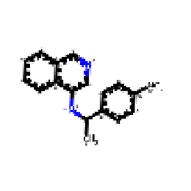 CC(Nc1cncc2ccccc12)c1ccc([N+](=O)[O-])cc1